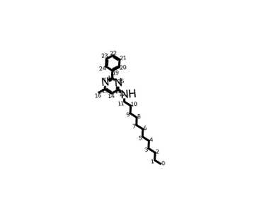 CCCCCCCCCCCCNc1cc(C)nc(-c2ccccc2)n1